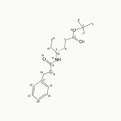 CC(C)(C)OC(=O)CC[C@@H](CI)NC(=O)OCc1ccccc1